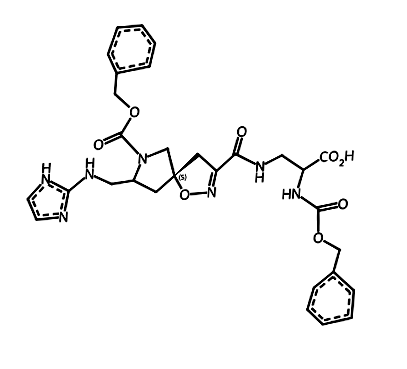 O=C(NC(CNC(=O)C1=NO[C@]2(C1)CC(CNc1ncc[nH]1)N(C(=O)OCc1ccccc1)C2)C(=O)O)OCc1ccccc1